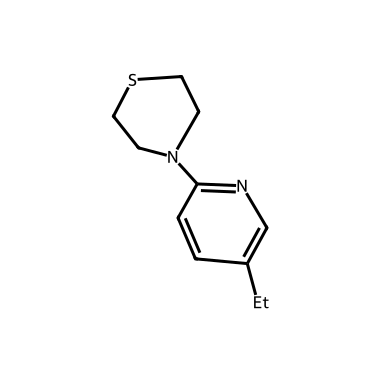 CCc1ccc(N2CCSCC2)nc1